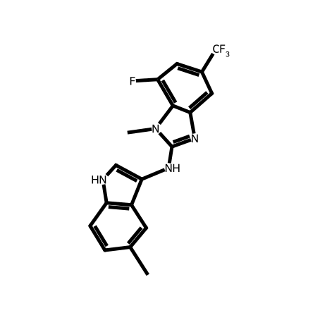 Cc1ccc2[nH]cc(Nc3nc4cc(C(F)(F)F)cc(F)c4n3C)c2c1